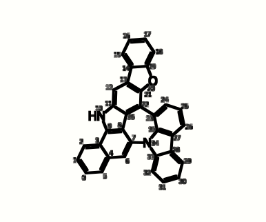 c1ccc2c(c1)cc1c3c2[nH]c2cc4c5ccccc5oc4c(c4cccc5c6ccccc6n1c54)c23